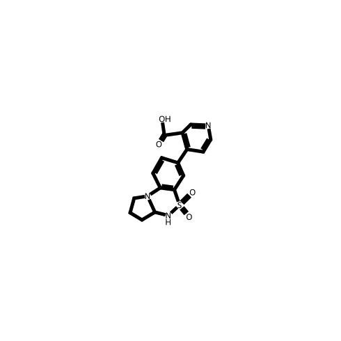 O=C(O)c1cnccc1-c1ccc2c(c1)S(=O)(=O)NC1CCCN21